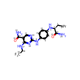 CC(C)C[C@H](Nc1ccc(Nc2ncc(C(N)=O)c(NCC(F)(F)F)n2)cc1)C(N)=O